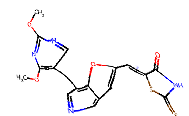 COc1ncc(-c2cncc3cc(/C=C4\SC(=S)NC4=O)oc23)c(OC)n1